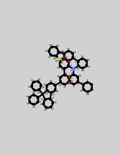 c1ccc(-c2cccc(N(c3ccccc3-c3cccc(-c4ccc5c(c4)-c4ccccc4C5(c4ccccc4)c4ccccc4)c3)c3ccccc3-c3ccc4c(c3)sc3ccccc34)c2)cc1